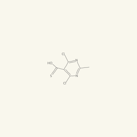 Cc1nc(Cl)c(C(O)=S)c(Cl)n1